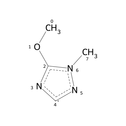 COc1n[c]nn1C